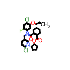 C=CCOc1cc(N(Cc2ccc(Cl)nc2)C(=O)C2=C(C(=O)OC3CCCC3)CCCC2)c(F)cc1Cl